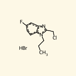 Br.CCCn1c(CCl)nc2cc(F)ccc21